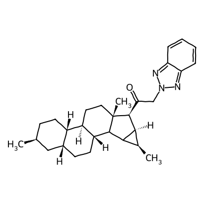 C[C@H]1CC[C@H]2[C@H](CC[C@H]3C4C5[C@H]([C@H]5C)[C@H](C(=O)Cn5nc6ccccc6n5)[C@@]4(C)CC[C@H]23)C1